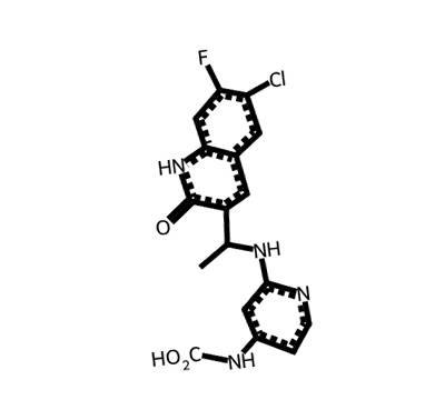 CC(Nc1cc(NC(=O)O)ccn1)c1cc2cc(Cl)c(F)cc2[nH]c1=O